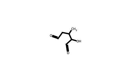 CC(C[C]=O)C(O)[C]=O